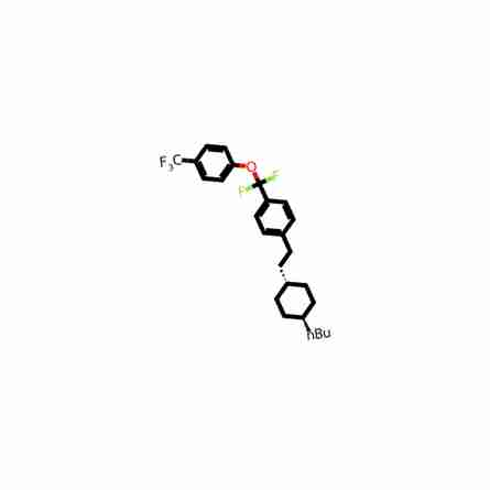 CCCC[C@H]1CC[C@H](CCc2ccc(C(F)(F)Oc3ccc(C(F)(F)F)cc3)cc2)CC1